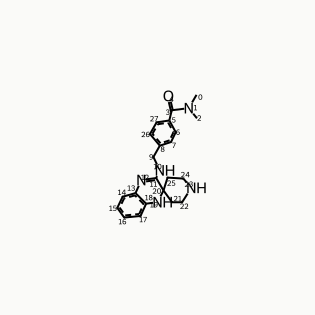 CN(C)C(=O)c1ccc(CNC2=Nc3ccccc3NC23CCNCC3)cc1